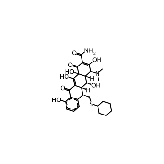 CN(C)[C@@H]1C(O)=C(C(N)=O)C(=O)[C@@]2(O)C(O)=C3C(=O)c4c(O)cccc4[C@H](CSC4CCCCC4)[C@H]3[C@H](O)[C@@H]12